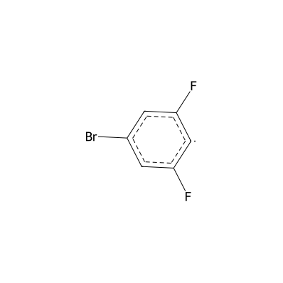 Fc1[c]c(F)cc(Br)c1